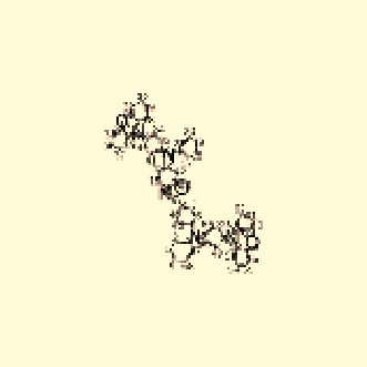 c1ccc(N(c2ccc(-c3nc4ccc(N(c5ccccc5)c5ccc(N6c7ccccc7Oc7ccccc76)cc5)cc4o3)cc2)c2ccc(N3c4ccccc4Oc4ccccc43)cc2)cc1